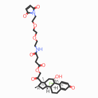 C[C@@H]1C[C@H]2[C@@H]3CCC4=CC(=O)C=C[C@]4(C)[C@@]3(F)[C@@H](O)C[C@]2(C)C1C(=O)COC(=O)CCC(=O)NCCOCCOCCN1C(=O)C=CC1=O